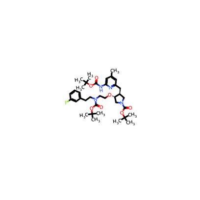 Cc1cc(C[C@H]2CN(C(=O)OC(C)(C)C)C[C@@H]2OCCN(CCc2cccc(F)c2)C(=O)OC(C)(C)C)nc(NC(=O)OC(C)(C)C)c1